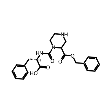 O=C(OCc1ccccc1)C1CNCCN1C(=O)N[C@@H](Cc1ccccc1)C(=O)O